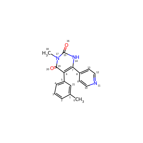 Cc1cccc(-c2c(-c3ccncc3)[nH]c(=O)n(C)c2=O)c1